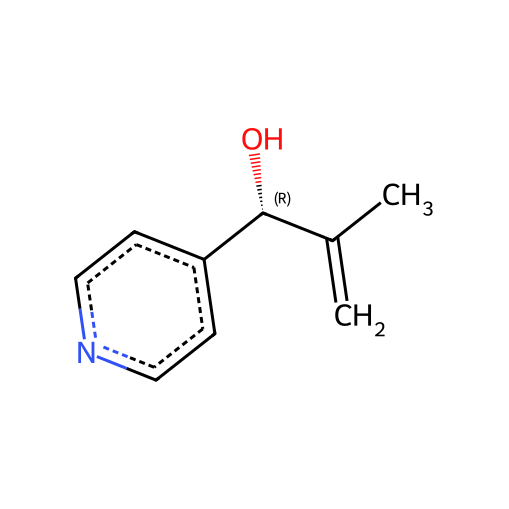 C=C(C)[C@@H](O)c1ccncc1